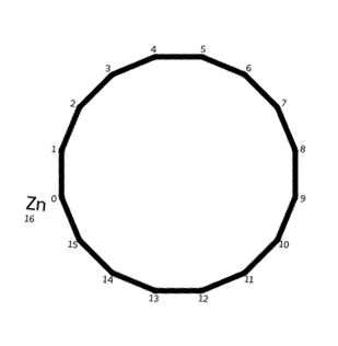 C1CCCCCCCCCCCCCCC1.[Zn]